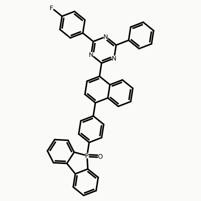 O=P1(c2ccc(-c3ccc(-c4nc(-c5ccccc5)nc(-c5ccc(F)cc5)n4)c4ccccc34)cc2)c2ccccc2-c2ccccc21